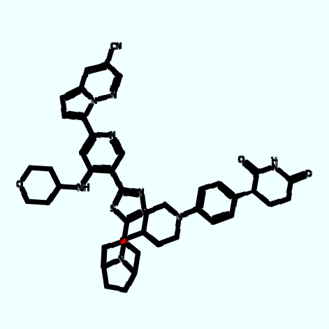 N#Cc1cnn2c(-c3cc(NC4CCOCC4)c(-c4nnc(N5CC6CCC(C5)N6CC5CCN(c6ccc([C@@H]7CCC(=O)NC7=O)cc6)CC5)s4)cn3)ccc2c1